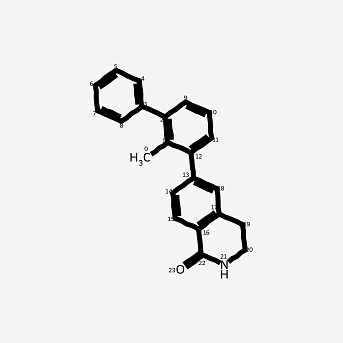 Cc1c(-c2ccccc2)cccc1-c1ccc2c(c1)CCNC2=O